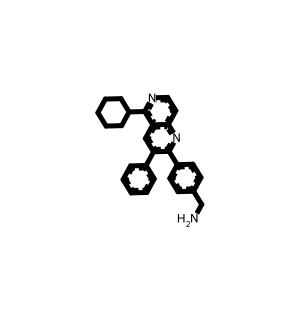 NCc1ccc(-c2nc3ccnc(C4CCCCC4)c3cc2-c2ccccc2)cc1